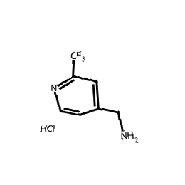 Cl.NCc1ccnc(C(F)(F)F)c1